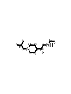 CCNC[C@H](C)C1CCN(CC(C)C)CC1